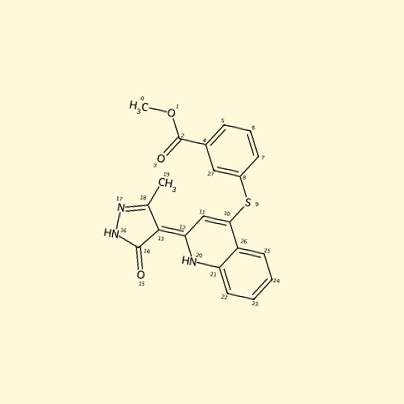 COC(=O)c1cccc(SC2=C/C(=C3/C(=O)NN=C3C)Nc3ccccc32)c1